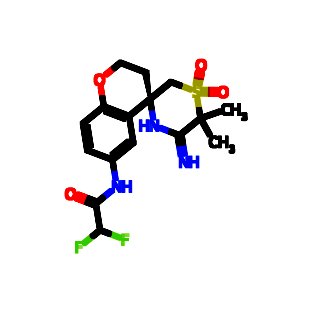 CC1(C)C(=N)N[C@@]2(CCOc3ccc(NC(=O)C(F)F)cc32)CS1(=O)=O